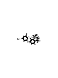 N#Cc1cc(F)cc(Oc2ccc3c(c2Cl)S(=O)(=O)C(F)(F)C3(F)F)c1